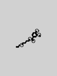 C=CCOCCCCOC(=O)c1ccc(OC)c(OC)c1